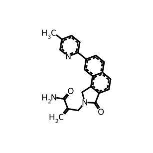 C=C(CN1Cc2c(ccc3ccc(-c4ccc(C)cn4)cc23)C1=O)C(N)=O